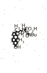 CC(CCC(=O)NC(CCC(=O)C(C)(C)C)C(=O)O)C1CCC2C3CCC4CC(O)CCC4(C)C3CCC12C